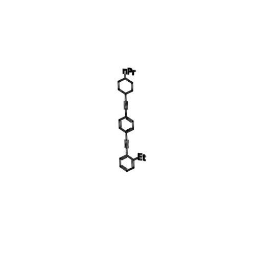 CCCC1CCC(C#Cc2ccc(C#Cc3ccccc3CC)cc2)CC1